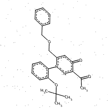 CC(=O)c1nn(-c2ccccc2OC(C)(C)C)c(COCc2ccccc2)cc1=O